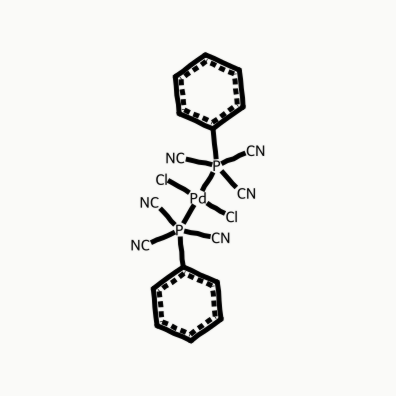 N#C[P](C#N)(C#N)(c1ccccc1)[Pd]([Cl])([Cl])[P](C#N)(C#N)(C#N)c1ccccc1